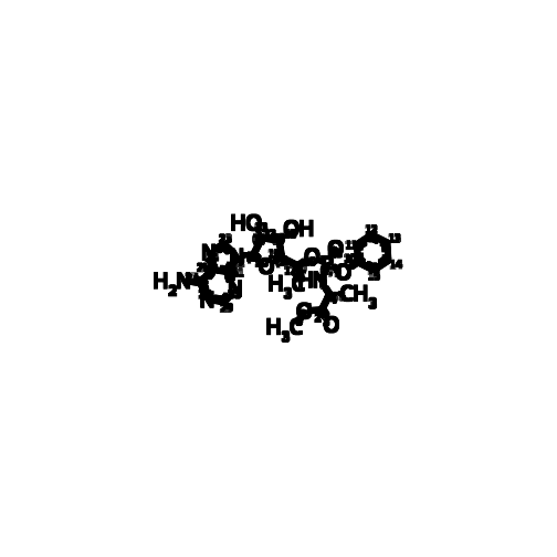 COC(=O)[C@@H](C)N[P@@](=O)(Oc1ccccc1)O[C@H](C)[C@H]1O[C@@H](n2cnc3c(N)ncnc32)[C@H](O)[C@@H]1O